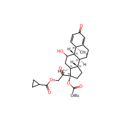 CC(C)COC(=O)O[C@]1(C(=O)COC(=O)C2CC2)CC[C@H]2[C@@H]3CCC4=CC(=O)C=C[C@]4(C)[C@H]3C(O)C[C@@]21C